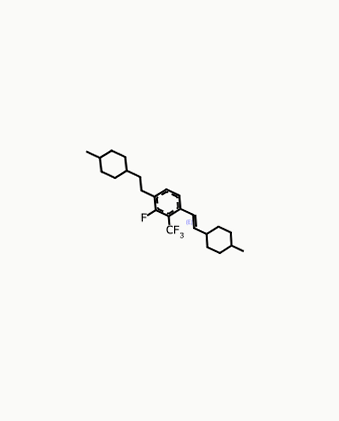 CC1CCC(/C=C/c2ccc(CCC3CCC(C)CC3)c(F)c2C(F)(F)F)CC1